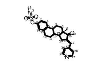 C[C@]12CCC3c4ccc(OS(N)(=O)=O)cc4CCC3C1C/C(=C\c1ccncc1)C2=O